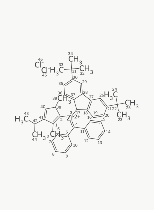 CC1=[C]([Zr+2](=[C](c2ccccc2)c2ccccc2)[CH]2c3ccc(C(C)(C)C)cc3-c3cc(C(C)(C)C)ccc32)C(C)C=C1C(C)C.[Cl-].[Cl-]